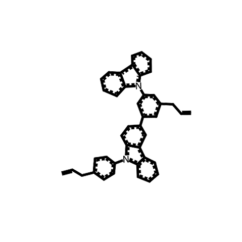 C=CCc1ccc(-n2c3ccccc3c3cc(-c4cc(CC=C)cc(-n5c6ccccc6c6ccccc65)c4)ccc32)cc1